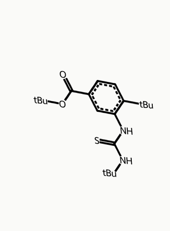 CC(C)(C)NC(=S)Nc1cc(C(=O)OC(C)(C)C)ccc1C(C)(C)C